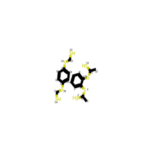 CC(S)Sc1ccccc1SC(C)S.SCSc1ccc(SCS)cc1